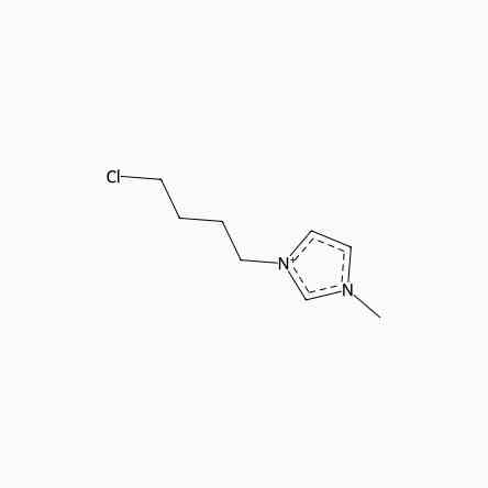 Cn1cc[n+](CCCCCl)c1